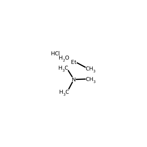 CCC.CN(C)C.Cl.O